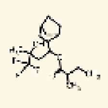 CCC(C)C(=O)OC(CC(C)(O)C(F)(F)F)C1CC2CCC1C2